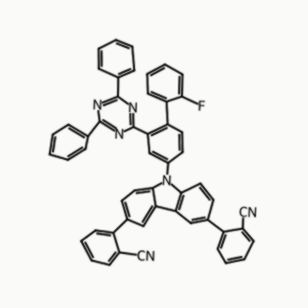 N#Cc1ccccc1-c1ccc2c(c1)c1cc(-c3ccccc3C#N)ccc1n2-c1ccc(-c2ccccc2F)c(-c2nc(-c3ccccc3)nc(-c3ccccc3)n2)c1